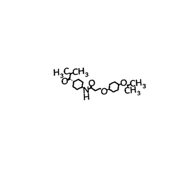 CC(C)O[C@H]1CC[C@@H](OCCC(=O)N[C@H]2CC[C@@H](C(=O)C(C)C)CC2)CC1